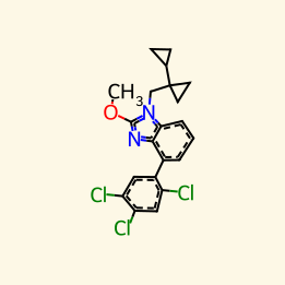 COc1nc2c(-c3cc(Cl)c(Cl)cc3Cl)cccc2n1CC1(C2CC2)CC1